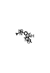 Cc1nc(NC(C)c2ccc(-c3nc(C4CC4)no3)cc2)c2cc(C)oc2n1